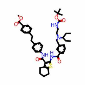 CCC(CC)N(CCNC(=O)OC(C)(C)C)Cc1cccc(C(=O)Nc2sc3c(c2C(=O)Nc2ccc(CCc4ccc(C(=O)OC)cc4)cc2)CCCC3)c1